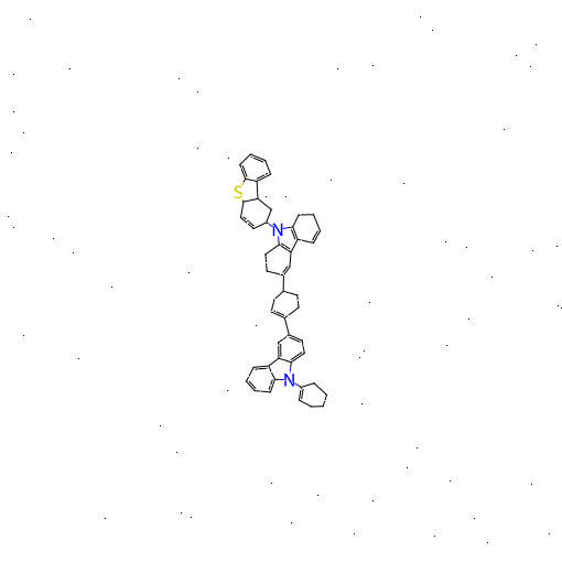 C1=Cc2c3c(n(C4C=CC5Sc6ccccc6C5C4)c2CC1)CCC(C1CC=C(c2ccc4c(c2)c2ccccc2n4C2=CCCCC2)CC1)=C3